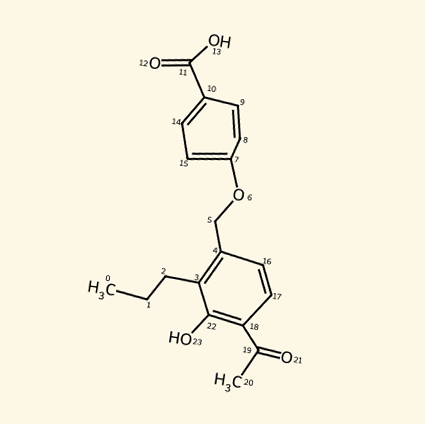 CCCc1c(COc2ccc(C(=O)O)cc2)ccc(C(C)=O)c1O